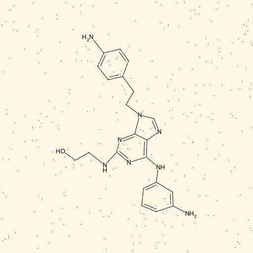 Nc1ccc(CCn2cnc3c(Nc4cccc(N)c4)nc(NCCO)nc32)cc1